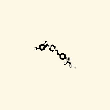 CCC(=O)NC1CCC(CCN2CCN(c3noc4cc(Cl)ccc34)CC2)CC1